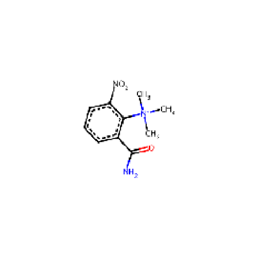 C[N+](C)(C)c1c(C(N)=O)cccc1[N+](=O)[O-]